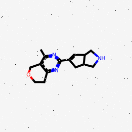 Cc1nc(C2=CC3CNCC3C2)nc2c1COCC2